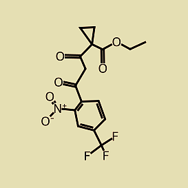 CCOC(=O)C1(C(=O)CC(=O)c2ccc(C(F)(F)F)cc2[N+](=O)[O-])CC1